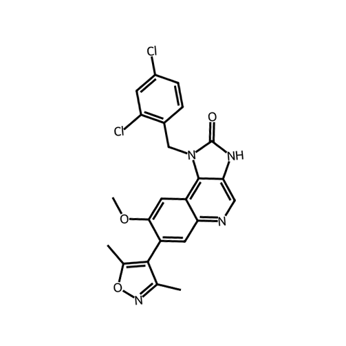 COc1cc2c(cc1-c1c(C)noc1C)ncc1[nH]c(=O)n(Cc3ccc(Cl)cc3Cl)c12